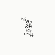 CCn1cc(S(=O)(=O)NC(=O)C2=C[N+]3CN(C(F)(F)F)C=C(Cl)C3=N2)c(Cl)n1